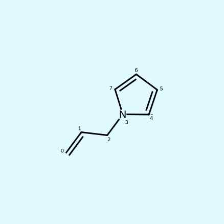 C=CCn1[c]ccc1